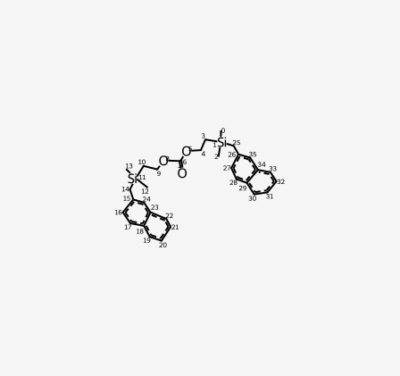 C[Si](C)(CCOC(=O)OCC[Si](C)(C)Cc1ccc2ccccc2c1)Cc1ccc2ccccc2c1